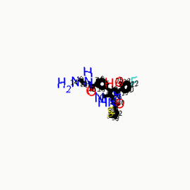 N#Cc1c(-c2cccc(C(=O)NCCN)c2)cc(-c2ccc(F)cc2O)nc1NC(=O)c1cccs1